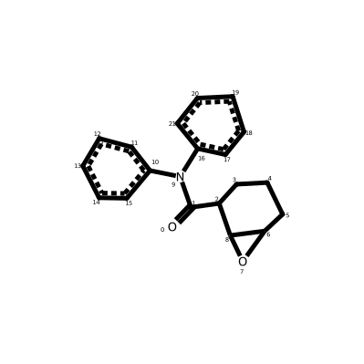 O=C(C1CCCC2OC21)N(c1ccccc1)c1ccccc1